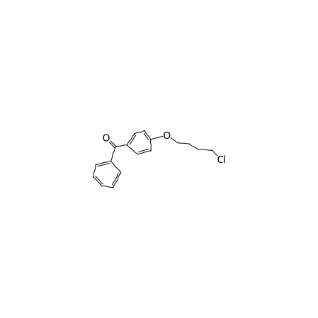 O=C(c1ccccc1)c1ccc(OCCCCCl)cc1